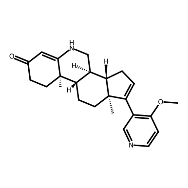 COc1ccncc1C1=CC[C@H]2[C@@H]3CNC4=CC(=O)CC[C@]4(C)[C@H]3CC[C@]12C